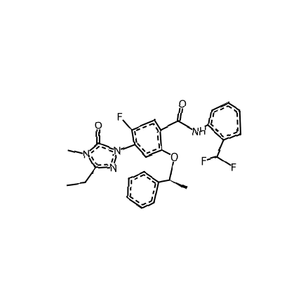 CCc1nn(-c2cc(O[C@@H](C)c3ccccc3)c(C(=O)Nc3ccccc3C(F)F)cc2F)c(=O)n1C